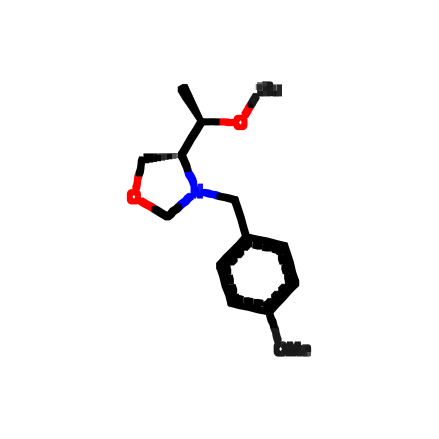 COc1ccc(CN2COC[C@@H]2[C@@H](C)OC(C)(C)C)cc1